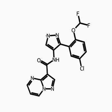 O=C(NC1=C[N]N=C1c1cc(Cl)ccc1OC(F)F)c1cnn2cccnc12